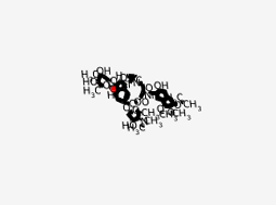 COc1c(OC(C)C)cc2cc(O)c(C(=O)NC3Cc4ccc(c(Cl)n4)O[C@H]4C=C5C#CC(=C[C@@H]6OC56[C@@H]4O[C@H]4C[C@@](C)(O)C(O)[C@H](C)O4)C(O[C@H]4C[C@H](O)[C@H](N(C)C)[C@H](C)O4)COC3=O)cc2c1OC